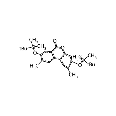 Cc1cc2c(cc1O[Si](C)(C)C(C)(C)C)oc(=O)c1cc(O[Si](C)(C)C(C)(C)C)c(C)cc12